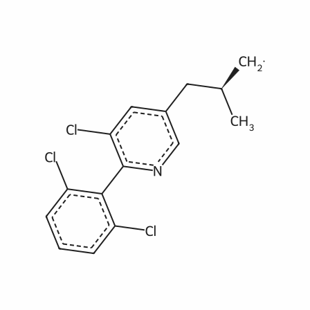 [CH2][C@@H](C)Cc1cnc(-c2c(Cl)cccc2Cl)c(Cl)c1